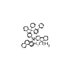 CC1(C)c2ccccc2-c2ccc(N(c3ccc4c(c3)C(c3ccccc3)(c3cccc(-c5ccccc5)c3)c3ccccc3-4)c3cccc4c3ccc3ccccc34)cc21